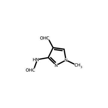 Cn1cc(C=O)c(NC=O)n1